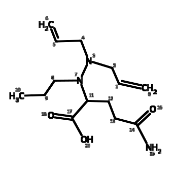 C=CCN(CC=C)N(CCC)C(CCC(N)=O)C(=O)O